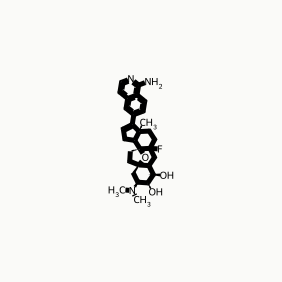 CN(C)[C@H]1C[C@@]23CC[C@]4(O2)C2CC=C(c5ccc6c(N)nccc6c5)[C@@]2(C)CCC4(F)CC3[C@@H](O)[C@@H]1O